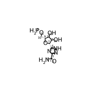 NC(=O)c1n[nH]c([C@@H]2O[C@H](COP)[C@@H](O)[C@H]2O)n1